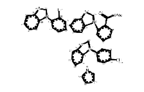 COC(=O)c1ccccc1N1CSc2ccccc21.Cc1ccc(N2CSc3ccccc32)cc1.Fc1ccccc1N1CSc2ccccc21.c1cscn1